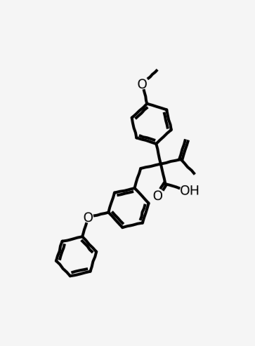 C=C(C)C(Cc1cccc(Oc2ccccc2)c1)(C(=O)O)c1ccc(OC)cc1